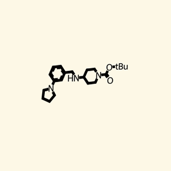 CC(C)(C)OC(=O)N1CCC(NCc2cccc(N3CCCC3)c2)CC1